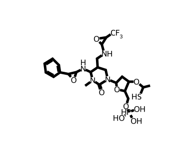 CC(S)OC1CC(N2CC(CNC3OC3C(F)(F)F)C(NC3OC3c3ccccc3)N(C)C2=O)OC1CO[PH](O)(O)O